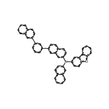 c1cc(-c2ccc3ccccc3c2)cc(-c2ccc3ccc(N(c4ccc5ccccc5c4)c4ccc5oc6ccccc6c5c4)cc3c2)c1